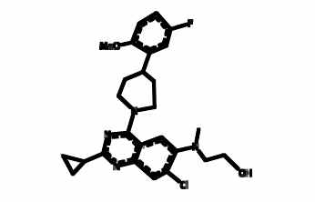 COc1ccc(F)cc1C1CCN(c2nc(C3CC3)nc3cc(Cl)c(N(C)CCO)cc23)CC1